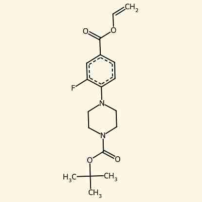 C=COC(=O)c1ccc(N2CCN(C(=O)OC(C)(C)C)CC2)c(F)c1